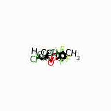 Cc1c(F)c(F)c(COC(=O)[C@@H]2[C@@H](C=C(Cl)Cl)C2(C)C)c(Cl)c1F